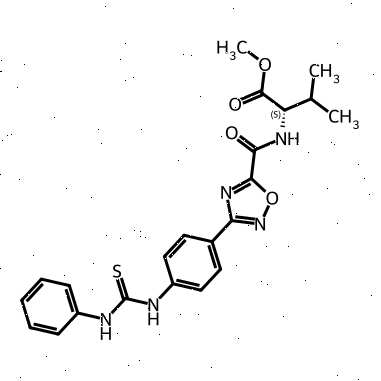 COC(=O)[C@@H](NC(=O)c1nc(-c2ccc(NC(=S)Nc3ccccc3)cc2)no1)C(C)C